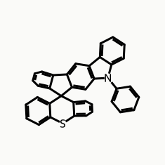 c1ccc(-n2c3ccccc3c3cc4c(cc32)C2(c3ccccc3Sc3ccccc32)c2ccccc2-4)cc1